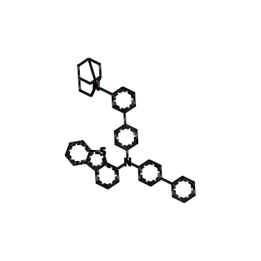 c1ccc(-c2ccc(N(c3ccc(-c4cccc(N5C6CC7CC(C6)CC5C7)c4)cc3)c3cccc4c3sc3ccccc34)cc2)cc1